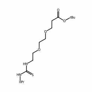 CCCNC(=S)NCCOCCOCCC(=O)OC(C)(C)C